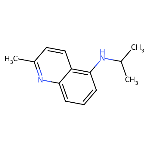 Cc1ccc2c(NC(C)C)cccc2n1